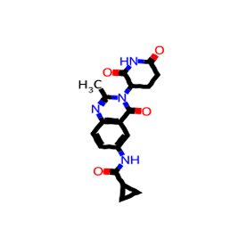 Cc1nc2ccc(NC(=O)C3CC3)cc2c(=O)n1C1CCC(=O)NC1=O